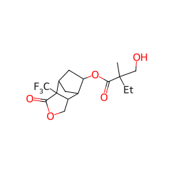 CCC(C)(CO)C(=O)OC1CC2CC1C1COC(=O)C21C(F)(F)F